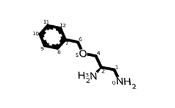 NC[C@@H](N)COCc1ccccc1